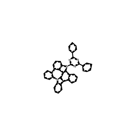 c1ccc(-c2nc(-c3ccccc3)nc(-n3c4cccc5c6ccccc6n6c7ccccc7c7c8ccccc8c3c(c54)c76)n2)cc1